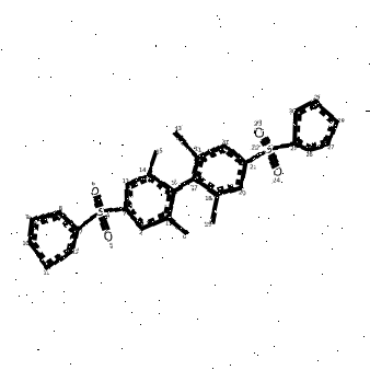 Cc1cc(S(=O)(=O)c2ccccc2)cc(C)c1-c1c(C)cc(S(=O)(=O)c2ccccc2)cc1C